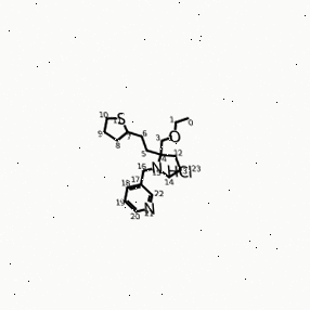 CCOCC1(CCC2CCCS2)CCCN1Cc1cccnc1.Cl